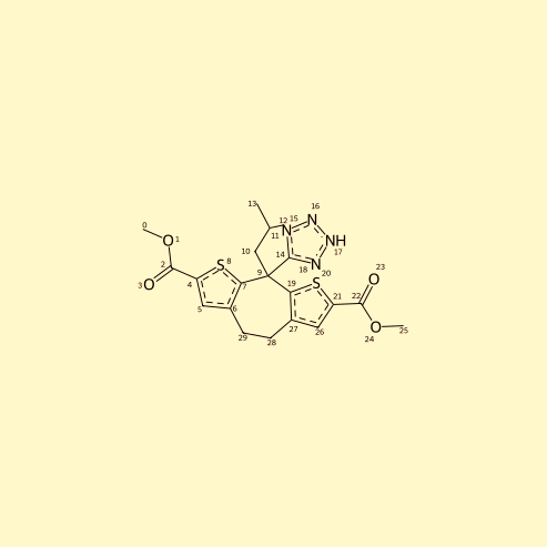 COC(=O)c1cc2c(s1)C(CC(C)C)(c1nn[nH]n1)c1sc(C(=O)OC)cc1CC2